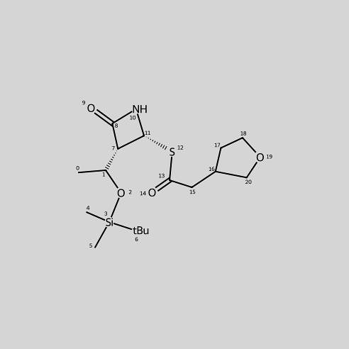 CC(O[Si](C)(C)C(C)(C)C)[C@@H]1C(=O)N[C@@H]1SC(=O)CC1CCOC1